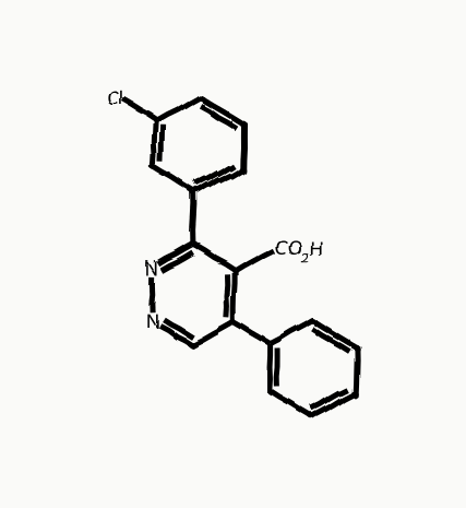 O=C(O)c1c(-c2ccccc2)cnnc1-c1cccc(Cl)c1